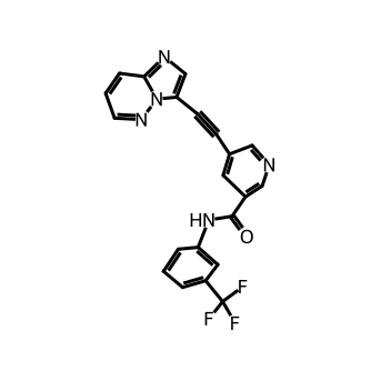 O=C(Nc1cccc(C(F)(F)F)c1)c1cncc(C#Cc2cnc3cccnn23)c1